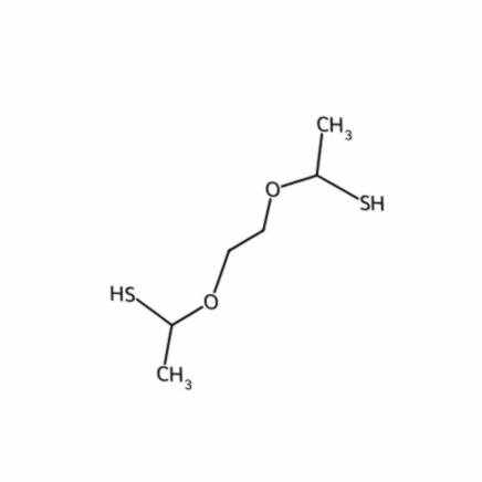 CC(S)OCCOC(C)S